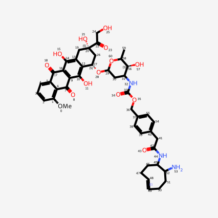 COc1cccc2c1C(=O)c1c(O)c3c(c(O)c1C2=O)C[C@@](O)(C(=O)CO)C[C@@H]3OC1CC(NC(=O)OCc2ccc(CC(=O)NC3CC/C=C/CCC3N)cc2)[C@H](O)C(C)O1